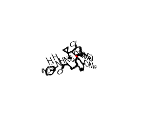 COc1ccc(CC(NC(=O)C2(c3ccc(Cl)cc3Cl)CC2)C(=O)N[C@@H]2CN3CCC2CC3)cc1OC